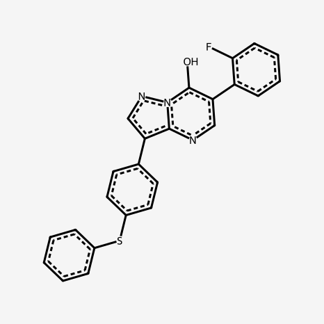 Oc1c(-c2ccccc2F)cnc2c(-c3ccc(Sc4ccccc4)cc3)cnn12